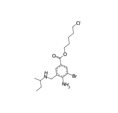 CCC(C)NCc1cc(C(=O)OCCCCCCl)cc(Br)c1N